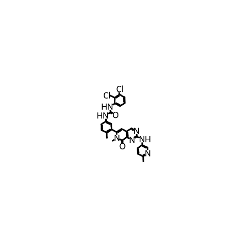 Cc1ccc(Nc2ncc3cc(-c4cc(NC(=O)Nc5cccc(Cl)c5Cl)ccc4C)n(C)c(=O)c3n2)cn1